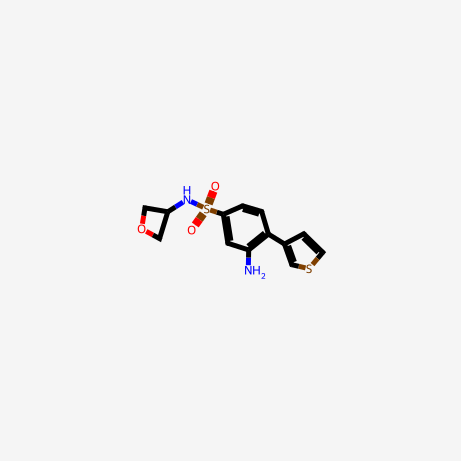 Nc1cc(S(=O)(=O)NC2COC2)ccc1-c1ccsc1